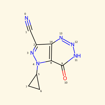 N#Cc1nn(C2CC2)c2c(=O)[nH]nnc12